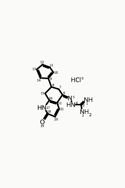 Cl.N=C(N)N/N=C1/CC(c2ccccc2)Cc2[nH]c(=O)ccc21